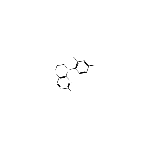 Fc1ccc(N2CCOc3cnc(Cl)nc32)c(Cl)c1